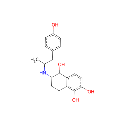 CC(Cc1ccc(O)cc1)NC1CCc2c(ccc(O)c2O)C1O